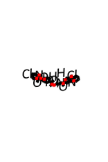 CC(CCCNC(=O)c1ccc2c(Cl)c3c(nc2c1)CCCC3)C(=O)N1CCC(O)(Cn2cnc3cc(Cl)ccc3c2=O)CC1